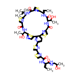 C/C=C1\NC(=O)[C@@H]([C@H](C)O)NC(=O)c2csc(n2)-c2ccc(-c3nc(-c4nc(C(=O)N/C(=C/C)C(=O)NC[C@H](C)O)cs4)cs3)nc2-c2cnc(s2)[C@@H]([C@H](C)O)NC(=O)c2csc(n2)[C@H](C(C)(C)OC)NC(=O)c2csc1n2